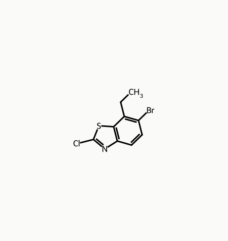 CCc1c(Br)ccc2nc(Cl)sc12